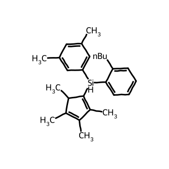 CCCCc1ccccc1[SiH](C1=C(C)C(C)=C(C)C1C)c1cc(C)cc(C)c1